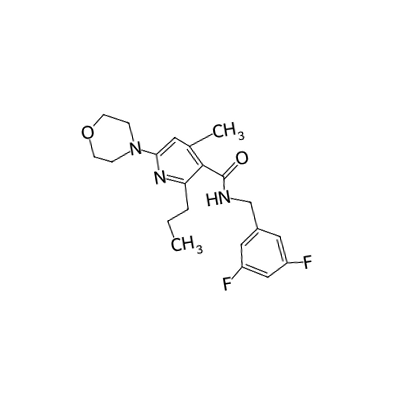 CCCc1nc(N2CCOCC2)cc(C)c1C(=O)NCc1cc(F)cc(F)c1